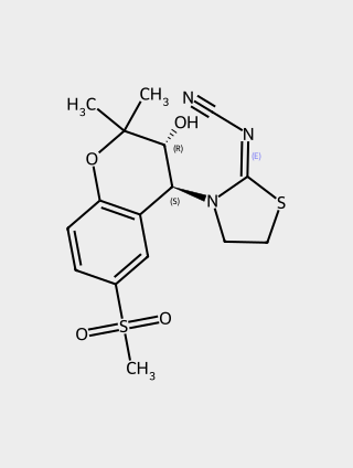 CC1(C)Oc2ccc(S(C)(=O)=O)cc2[C@H](N2CCS/C2=N/C#N)[C@H]1O